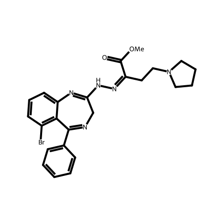 COC(=O)C(CCN1CCCC1)=NNC1=Nc2cccc(Br)c2C(c2ccccc2)=NC1